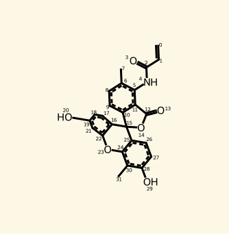 C=CC(=O)Nc1c(C)ccc2c1C(=O)OC21c2ccc(O)cc2Oc2c1ccc(O)c2C